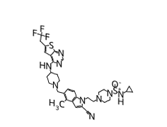 Cc1c(CN2CCC(Nc3ncnc4sc(CC(F)(F)F)cc34)CC2)ccc2c1cc(C#N)n2CCN1CCN([S+]([O-])NC2CC2)CC1